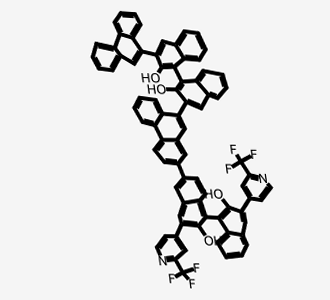 Oc1c(-c2ccnc(C(F)(F)F)c2)cc2ccccc2c1-c1c(O)c(-c2ccnc(C(F)(F)F)c2)cc2cc(-c3ccc4c(c3)cc(-c3cc5ccccc5c(-c5c(O)c(-c6cc7ccccc7c7ccccc67)cc6ccccc56)c3O)c3ccccc34)ccc12